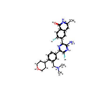 Cc1cc2cc(-c3nc(-c4ccc(C5CCOCC5)c(CN(C)C)c4)c(F)nc3N)c(F)cc2c(=O)[nH]1